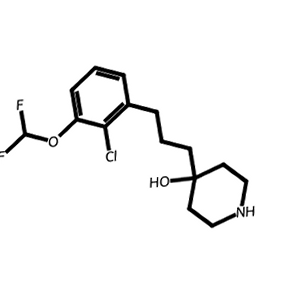 OC1(CCCc2cccc(OC(F)F)c2Cl)CCNCC1